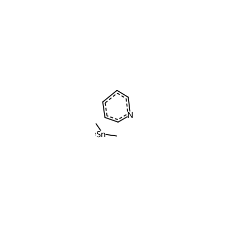 [CH3][Sn][CH3].c1ccncc1